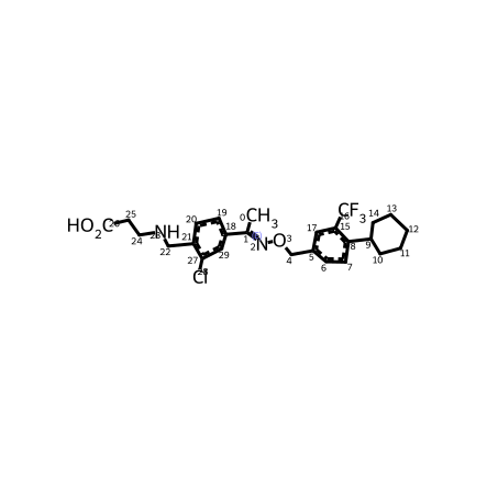 C/C(=N\OCc1ccc(C2CCCCC2)c(C(F)(F)F)c1)c1ccc(CNCCC(=O)O)c(Cl)c1